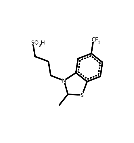 CC1Sc2ccc(C(F)(F)F)cc2N1CCCS(=O)(=O)O